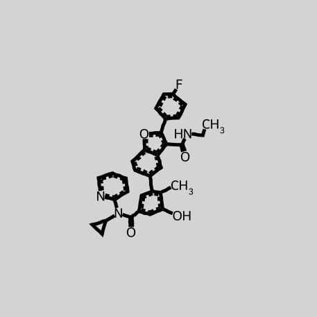 CCNC(=O)c1c(-c2ccc(F)cc2)oc2ccc(-c3cc(C(=O)N(c4ccccn4)C4CC4)cc(O)c3C)cc12